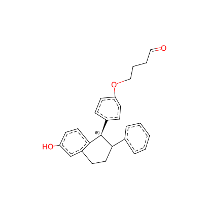 O=CCCCOc1ccc([C@@H]2c3ccc(O)cc3CCC2c2ccccc2)cc1